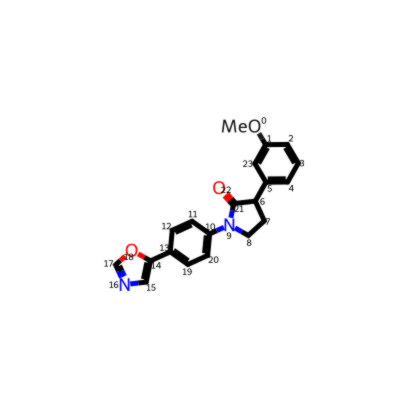 COc1cccc(C2CCN(c3ccc(-c4cnco4)cc3)C2=O)c1